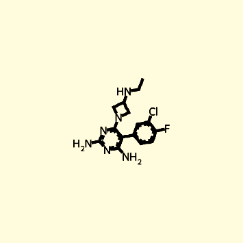 CCNC1CN(c2nc(N)nc(N)c2-c2ccc(F)c(Cl)c2)C1